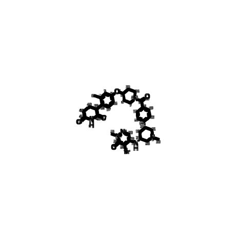 Cc1cc(OC2CCN(C(=O)c3ccc([C@H]4C[C@@H](Nc5cnn(C)c(=O)c5Br)CN(C)C4)cc3)CC2)ccc1C1CCC(=O)NC1=O